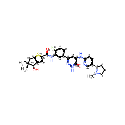 CN1CCC[C@@H]1c1ccc(Nc2cc(-c3ccc(F)c(NC(=O)c4cc5c(s4)CC(C)(C)[C@H]5O)c3)n[nH]c2=O)nc1